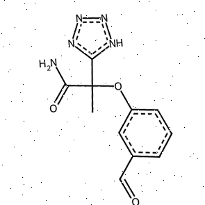 CC(Oc1cccc(C=O)c1)(C(N)=O)c1nnn[nH]1